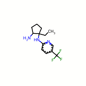 CCC1(Nc2ccc(C(F)(F)F)cn2)CCCC1N